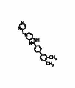 Cc1ccc(-c2ccc(-c3nc4c([nH]3)C=CN(Cc3ccncn3)C4)cc2)cc1C